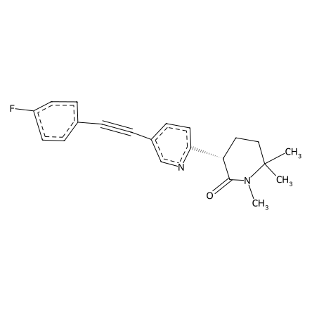 CN1C(=O)[C@H](c2ccc(C#Cc3ccc(F)cc3)cn2)CCC1(C)C